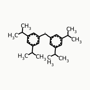 CC(C)c1cc([CH]c2cc(C(C)C)cc(C(C)C)c2)cc(C(C)C)c1